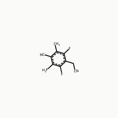 Cc1c(F)c(CC#N)c(F)c(P)c1C#N